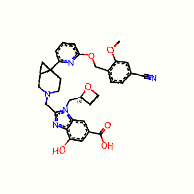 COc1cc(C#N)ccc1COc1cccc(C23CCN(Cc4nc5c(O)cc(C(=O)O)cc5n4C[C@@H]4CCO4)CC2C3)n1